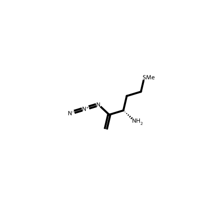 C=C(N=[N+]=[N-])[C@@H](N)CCSC